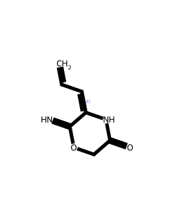 C=C/C=C1/NC(=O)COC1=N